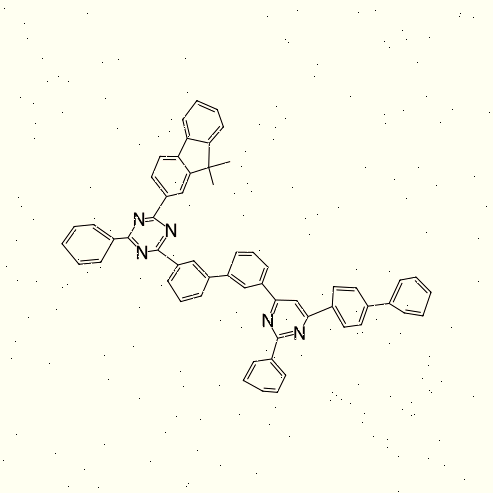 CC1(C)c2ccccc2-c2ccc(-c3nc(-c4ccccc4)nc(-c4cccc(-c5cccc(-c6cc(-c7ccc(-c8ccccc8)cc7)nc(-c7ccccc7)n6)c5)c4)n3)cc21